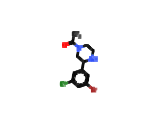 O=C(N1CCNC(c2cc(Cl)cc(Br)c2)C1)C(F)(F)F